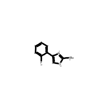 CC(C)(C)c1nc(-c2ccccc2F)co1